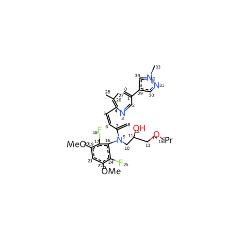 C=C(/C=N\C(/C=C\C(=C)N(CC(O)COC(C)C)c1c(F)c(OC)cc(OC)c1F)=C(C)C)c1cnn(C)c1